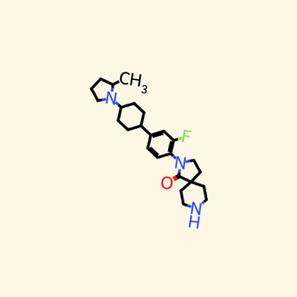 CC1CCCN1C1CCC(c2ccc(N3CCC4(CCNCC4)C3=O)c(F)c2)CC1